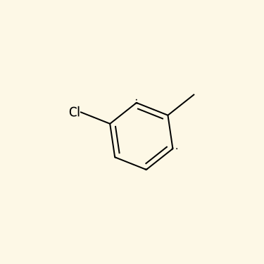 Cc1[c]ccc(Cl)[c]1